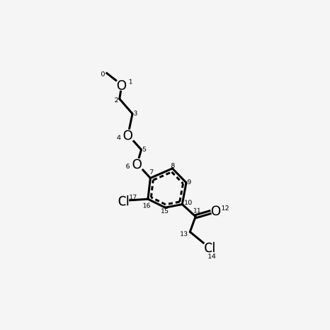 COCCOCOc1ccc(C(=O)CCl)cc1Cl